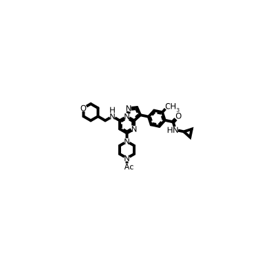 CC(=O)N1CCN(c2cc(NCC3CCOCC3)n3ncc(-c4ccc(C(=O)NC5CC5)c(C)c4)c3n2)CC1